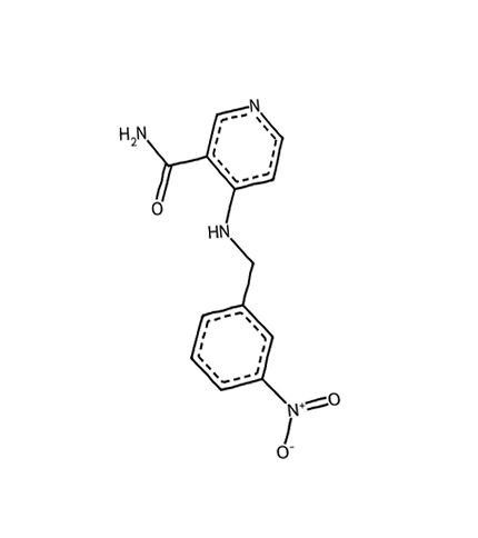 NC(=O)c1cnccc1NCc1cccc([N+](=O)[O-])c1